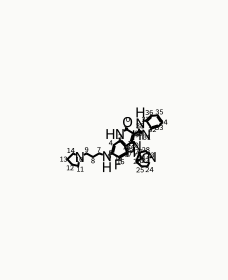 O=c1[nH]c2cc(NCCCN3CCCC3)c(F)cc2c(N[C@H]2CN3CCC2CC3)c1-c1nc2ccccc2[nH]1